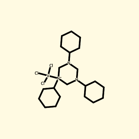 [Cl][V]([Cl])([Cl])[N+]1(C2CCCCC2)CN(C2CCCCC2)CN(C2CCCCC2)C1